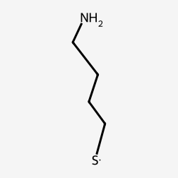 NCCCC[S]